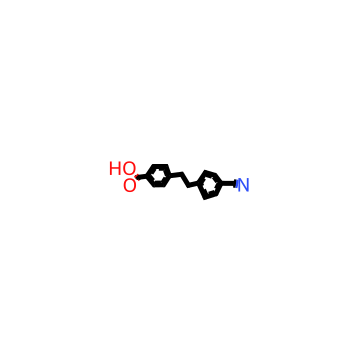 N#Cc1ccc(CCc2ccc(C(=O)O)cc2)cc1